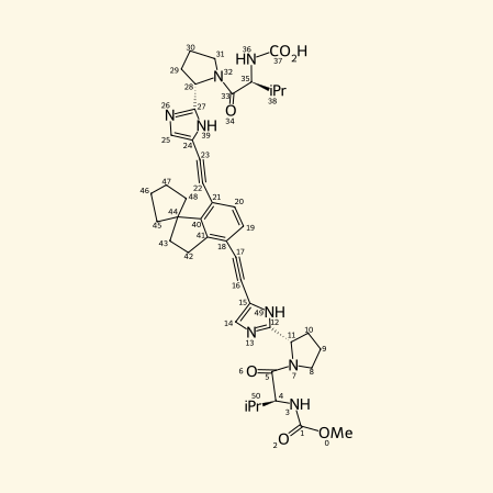 COC(=O)N[C@H](C(=O)N1CCC[C@H]1c1ncc(C#Cc2ccc(C#Cc3cnc([C@@H]4CCCN4C(=O)[C@@H](NC(=O)O)C(C)C)[nH]3)c3c2CCC32CCCC2)[nH]1)C(C)C